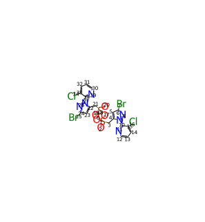 O=S(=O)(Cc1cc(Br)nn1-c1ncccc1Cl)OS(=O)(=O)Cc1cc(Br)nn1-c1ncccc1Cl